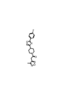 Cc1nonc1CC(=O)N1CCC(c2noc(-c3ccc(F)cc3)n2)CC1